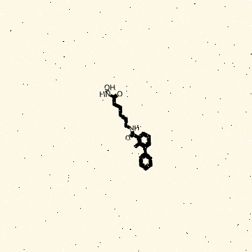 Cc1c(C(=O)NCCCCCC(=O)NO)cccc1-c1ccccc1